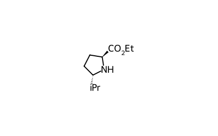 CCOC(=O)[C@@H]1CC[C@@H](C(C)C)N1